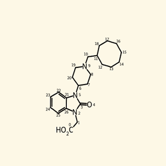 O=C(O)Cn1c(=O)n(C2CCN(CC3CCCCCCC3)CC2)c2ccccc21